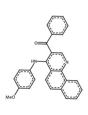 COc1ccc(Nc2c(C(=O)c3ccccc3)cnc3c2ccc2ccccc23)cc1